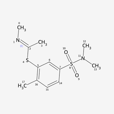 C/N=C(\C)Sc1cc(S(=O)(=O)N(C)C)ccc1C